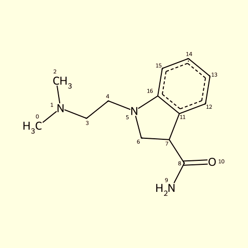 CN(C)CCN1CC(C(N)=O)c2cc[c]cc21